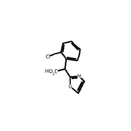 O=C(O)C(c1ncco1)c1ccccc1Cl